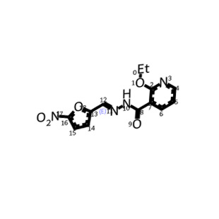 CCOc1ncccc1C(=O)N/N=C/c1ccc([N+](=O)[O-])o1